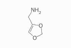 NCC1=COCO1